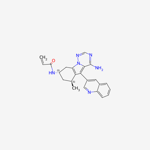 C=CC(=O)N[C@@H]1Cc2c(c(-c3cnc4ccccc4c3)c3c(N)ncnn23)[C@@H](C)C1